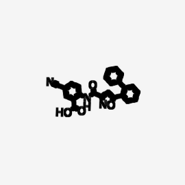 N#Cc1ccc(NC(=O)c2cc(-c3ccccc3-c3ccccc3)on2)c(C(=O)O)c1